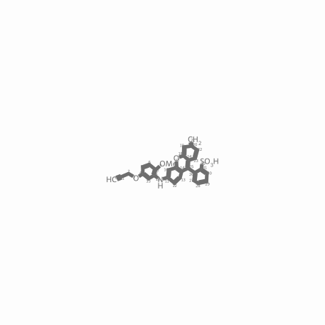 C#CCOc1ccc(OC)c(Nc2ccc3c(c2)Oc2cc(=C)ccc2=C3c2ccccc2S(=O)(=O)O)c1